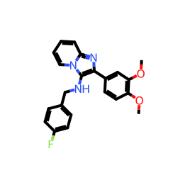 COc1ccc(-c2nc3ccccn3c2NCc2ccc(F)cc2)cc1OC